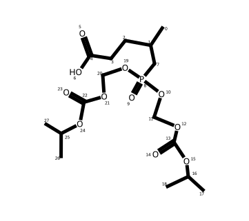 CC(CCC(=O)O)CP(=O)(OCOC(=O)OC(C)C)OCOC(=O)OC(C)C